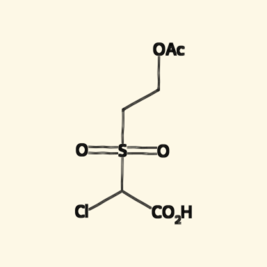 CC(=O)OCCS(=O)(=O)C(Cl)C(=O)O